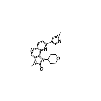 Cn1cc(-c2ccc3ncc4c(c3n2)n(C2CCOCC2)c(=O)n4C)cn1